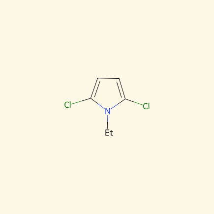 CCn1c(Cl)ccc1Cl